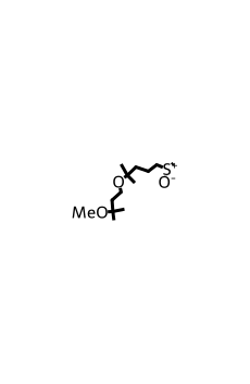 COC(C)(C)CCOC(C)(C)CCC[S+](C)[O-]